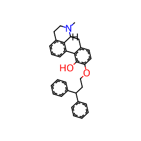 CN1CCc2cccc3c2[C@H]1Cc1ccc(OCCC(c2ccccc2)c2ccccc2)c(O)c1-3